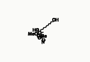 COc1c(O)c(CCCCCCCCCCO)c(C)c(OC(=O)C2=CN(C)C=CC2)c1OC